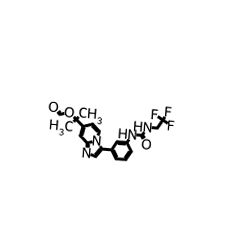 CC(C)(OC=O)c1ccn2c(-c3cccc(NC(=O)NCC(F)(F)F)c3)cnc2c1